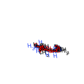 [CH2]c1ccc(NC(=O)[C@H](CCCNC(N)=O)NC(=O)[C@@H](NC(=O)c2ccc(NC(=O)CCOCCOCCNC3CCN(C(=O)CCn4c(CN(C)NC)cc5cccnc54)CC3)cc2O)C(C)C)cc1